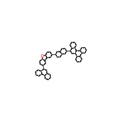 c1ccc2c(c1)cc(-c1ccc3oc4ccc(-c5ccc6cc(-c7cc8c9ccccc9c9ccccc9c8c8ccccc78)ccc6c5)cc4c3c1)c1ccccc12